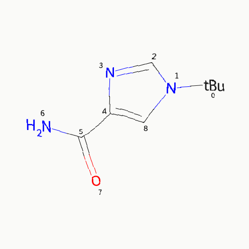 CC(C)(C)n1cnc(C(N)=O)c1